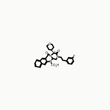 O=C1[C@H](C2CCOCC2)N2C(=O)c3cc4ccccc4cc3N(C(=O)O)C2CN1CCc1cccc(F)c1